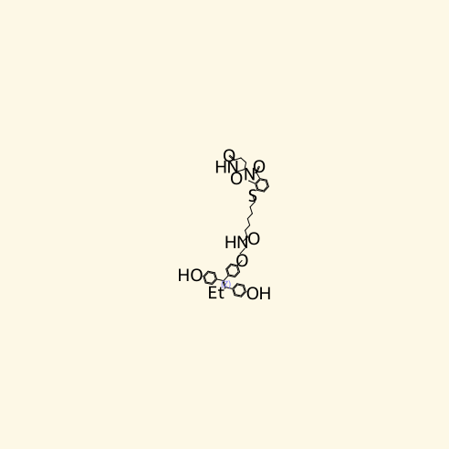 CC/C(=C(\c1ccc(O)cc1)c1ccc(OCCNC(=O)CCCCCCSc2cccc3c2CN(C2CCC(=O)NC2=O)C3=O)cc1)c1ccc(O)cc1